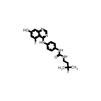 CC(C)(F)CCNC(=O)Nc1ccc(Nc2ncnc3cc(O)cc(F)c23)cc1